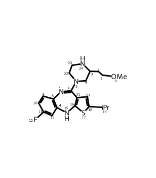 COCCC1CN(C2=Nc3ccc(F)cc3Nc3sc(C(C)C)cc32)CCN1